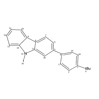 CC(C)(C)c1ccc(-c2ccc3c4ccccc4n(I)c3c2)cc1